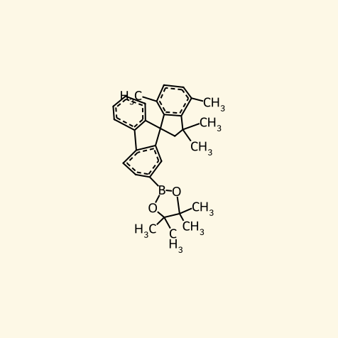 Cc1ccc(C)c2c1C(C)(C)CC21c2ccccc2-c2ccc(B3OC(C)(C)C(C)(C)O3)cc21